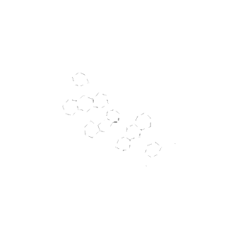 CC(C)(C)c1cc(-c2c3ccccc3c(-c3cccc4c3oc3cccc(-c5c6ccccc6c(-c6ccccc6)c6ccccc56)c34)c3ccccc23)cc(C(C)(C)C)c1